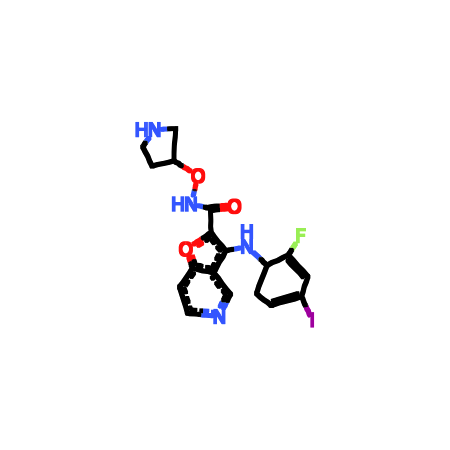 O=C(NOC1CCNC1)c1oc2ccncc2c1NC1CC=C(I)C=C1F